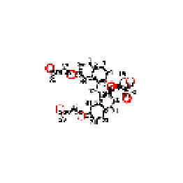 c1cc2ccc(OCC3CO3)c(Cc3c(OC4COC4)ccc4ccc(OCC5CO5)cc34)c2cc1OCC1CO1